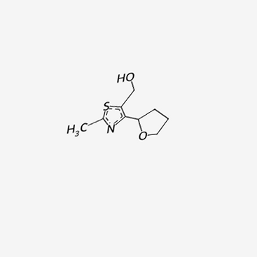 Cc1nc(C2CCCO2)c(CO)s1